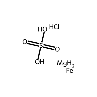 Cl.O=S(=O)(O)O.[Fe].[MgH2]